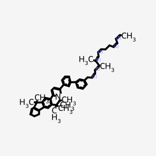 C/C=C\C=C/CC\C=C/C=C(C)/C(C)=C/C=C\Cc1cccc(-c2cccc(C3=CC=C4c5cc6c(cc5C(C)(C)C(C)(C)N4C3)C3=C(C=CCC3)C6(C)C)c2)c1